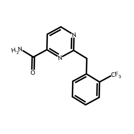 NC(=O)c1ccnc(Cc2ccccc2C(F)(F)F)n1